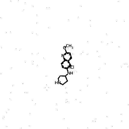 COc1ccc2cc(NC3CCNCC3)ccc2n1.Cl